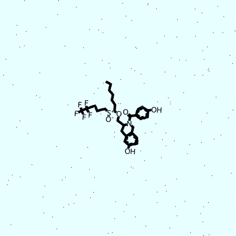 CCCCCCC(OCC1Cc2cc(O)ccc2CN1C(=O)c1ccc(O)cc1)[S+]([O-])CCCC(F)(F)C(F)(F)F